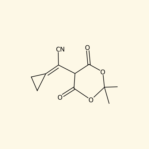 CC1(C)OC(=O)C(C(C#N)=C2CC2)C(=O)O1